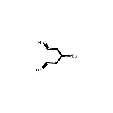 C=CCC(CC=C)CCCC